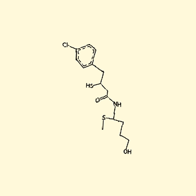 CSC(CCCO)NC(=O)CC(S)Cc1ccc(Cl)cc1